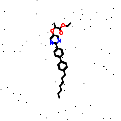 CCCCCCCc1ccc(-c2ccc(-c3ncc(OC(C)C(=O)OCC)cn3)cc2)cc1